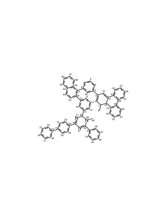 CC1C=C(c2cccc(-c3c(-c4cccc(C5N=C(c6ccc(-c7ccccc7)cc6)N=C(c6ccccc6)N5C)c4)ccc4ccccc34)c2)C=C2c3ccccc3-c3ccccc3C21